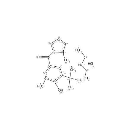 CCNCC.Cc1cc(C(=O)c2cccn2C)cc(C(C)(C)C)c1O.Cl